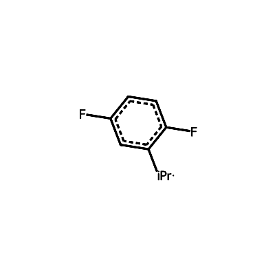 C[C](C)c1cc(F)ccc1F